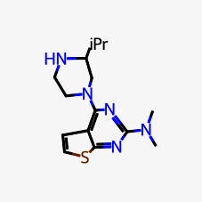 CC(C)C1CN(c2nc(N(C)C)nc3sccc23)CCN1